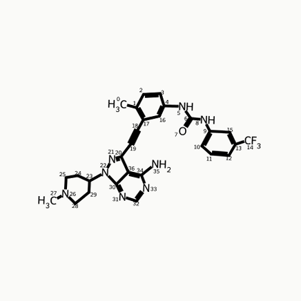 Cc1ccc(NC(=O)Nc2cccc(C(F)(F)F)c2)cc1C#Cc1nn(C2CCN(C)CC2)c2ncnc(N)c12